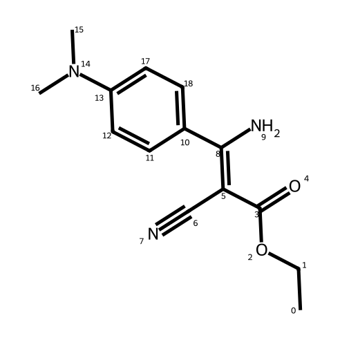 CCOC(=O)/C(C#N)=C(\N)c1ccc(N(C)C)cc1